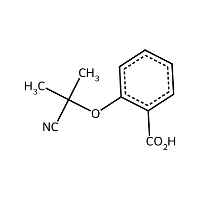 CC(C)(C#N)Oc1ccccc1C(=O)O